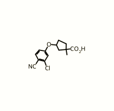 CC1(C(=O)O)CCC(Oc2ccc(C#N)c(Cl)c2)C1